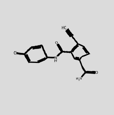 C#Cc1ccc(C(N)=O)cc1C(=O)Nc1ccc(Cl)cc1